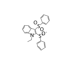 CCn1c([S+]([O-])c2ccccc2)c(S(=O)(=O)c2ccccc2)c2ccccc21